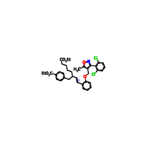 CCOC(=O)CCCCC(/C=C/c1ccccc1OCc1c(-c2c(Cl)cccc2Cl)noc1C)Cc1ccc(C(=O)OCC)cc1